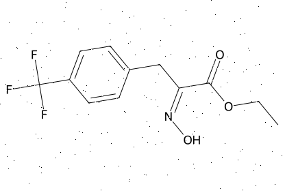 CCOC(=O)C(Cc1ccc(C(F)(F)F)cc1)=NO